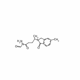 Cc1ccc2c(c1)CN(C(C)CCC(=O)N(N)C=O)C2=O